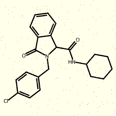 O=C(NC1CCCCC1)C1c2ccccc2C(=O)N1Cc1ccc(Cl)cc1